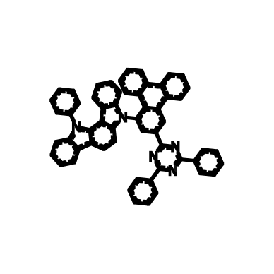 c1ccc(-c2nc(-c3ccccc3)nc(-c3cc(-n4c5ccccc5c5c4ccc4c6ccccc6n(-c6ccccc6)c45)c4c5ccccc5c5ccccc5c4c3)n2)cc1